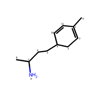 CC1=CCC(CCC(C)N)C=C1